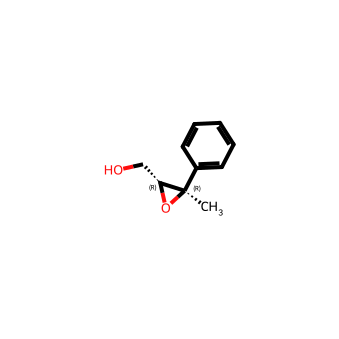 C[C@]1(c2ccccc2)O[C@@H]1CO